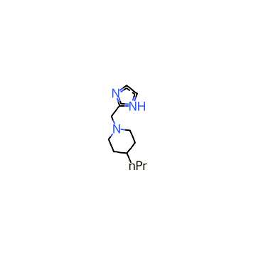 CCCC1CCN(Cc2ncc[nH]2)CC1